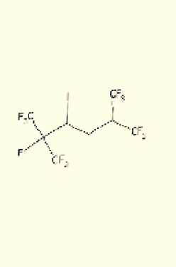 FC(F)(F)C(CC(I)C(F)(C(F)(F)F)C(F)(F)F)C(F)(F)F